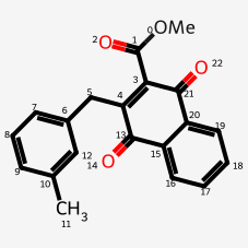 COC(=O)C1=C(Cc2cccc(C)c2)C(=O)c2ccccc2C1=O